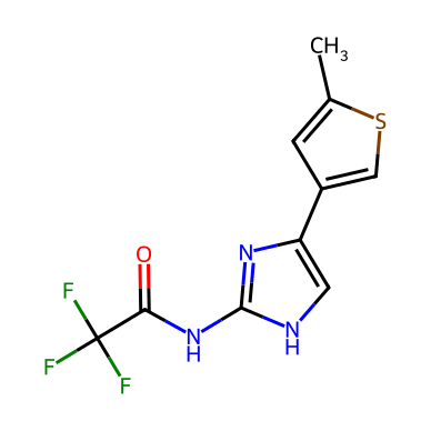 Cc1cc(-c2c[nH]c(NC(=O)C(F)(F)F)n2)cs1